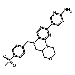 CS(=O)(=O)c1ccc(CN2CC3COCCN3c3nc(-c4cnc(N)nc4)ncc32)cc1